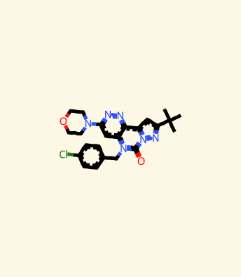 CC(C)(C)c1cc2c3nnc(N4CCOCC4)cc3n(Cc3ccc(Cl)cc3)c(=O)n2n1